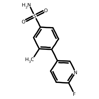 Cc1cc(S(N)(=O)=O)ccc1-c1ccc(F)nc1